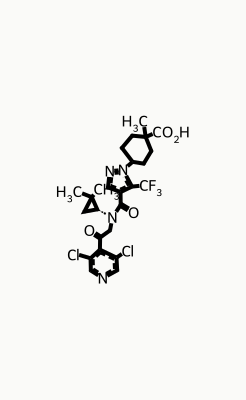 CC1(C(=O)O)CCC(n2ncc(C(=O)N(CC(=O)c3c(Cl)cncc3Cl)[C@@H]3CC3(C)C)c2C(F)(F)F)CC1